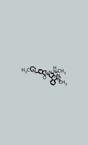 CCNc1cc(-c2ccccc2-c2nncn2C)cc(N2Cc3ccc(CN4CCC[C@H](C)C4)cc3C2=O)n1